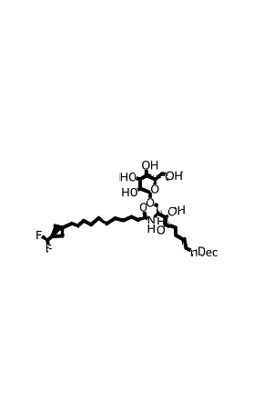 CCCCCCCCCCCCCC[C@@H](O)C(O)[C@H](COC1OC(CO)C(O)C(O)C1O)NC(=O)CCCCCCCCCCC12CC(C(F)F)(C1)C2